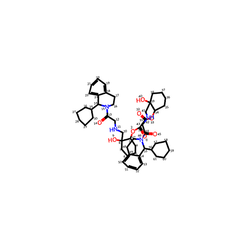 O=C(OC1CCCCC1(O)CNCC(=O)N1CCc2ccccc2C1C1CCCCC1)C(=O)OC1CCCCC1(O)CNCC(=O)N1CCc2ccccc2C1C1CCCCC1